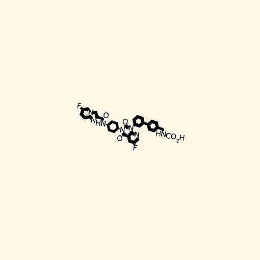 O=C(O)NCc1ccc(-c2cccc(-n3c(=O)n([C@H]4CC[C@@H](NC(=O)c5cn6cc(F)ccc6n5)CC4)c(=O)c4cc(F)cnc43)c2)cc1